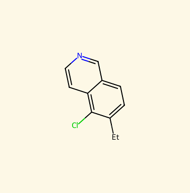 CCc1ccc2cnccc2c1Cl